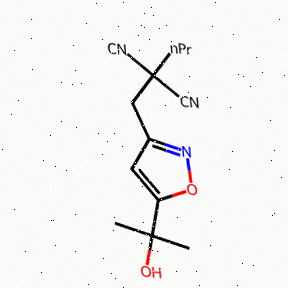 [C-]#[N+]C(C#N)(CCC)Cc1cc(C(C)(C)O)on1